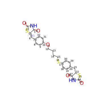 O=C1NC(=O)/C(=C\c2ccc(OCCCCSc3ccc(CC4SC(=O)NC4=O)cc3)cc2)S1